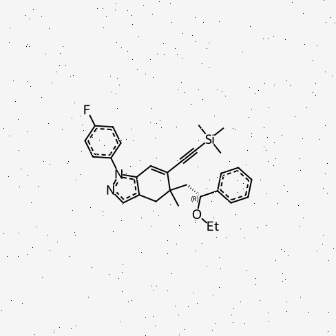 CCO[C@H](CC1(C)Cc2cnn(-c3ccc(F)cc3)c2C=C1C#C[Si](C)(C)C)c1ccccc1